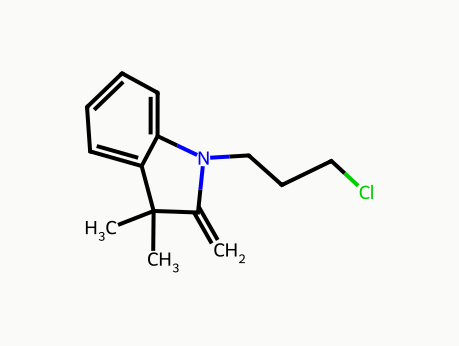 C=C1N(CCCCl)c2ccccc2C1(C)C